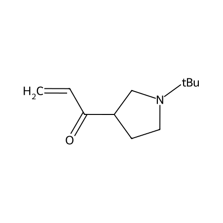 C=CC(=O)C1CCN(C(C)(C)C)C1